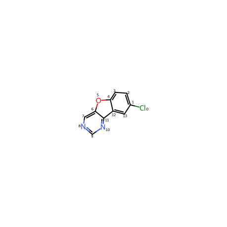 Clc1ccc2oc3cncnc3c2c1